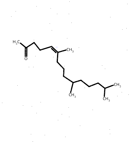 CC(=O)CC/C=C(/C)CCCC(C)CCCC(C)C